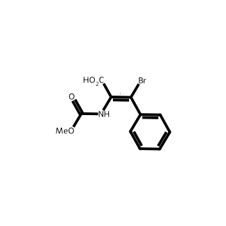 COC(=O)N/C(C(=O)O)=C(/Br)c1ccccc1